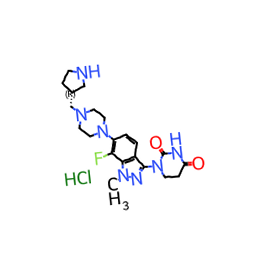 Cl.Cn1nc(N2CCC(=O)NC2=O)c2ccc(N3CCN(C[C@@H]4CCNC4)CC3)c(F)c21